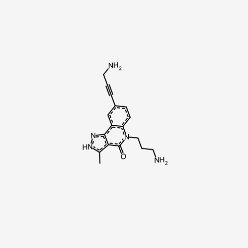 Cc1[nH]nc2c1c(=O)n(CCCN)c1ccc(C#CCN)cc21